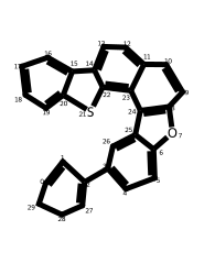 C1=CC(c2ccc3oc4ccc5ccc6c7ccccc7sc6c5c4c3c2)=CCC1